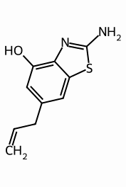 C=CCc1cc(O)c2nc(N)sc2c1